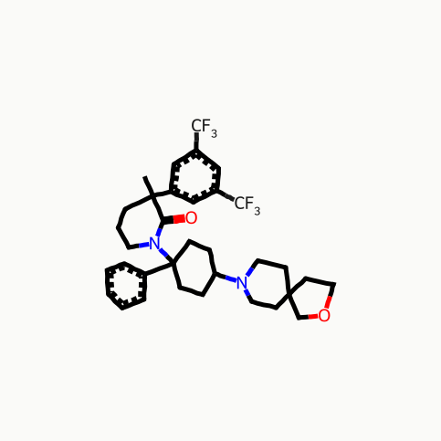 CC1(c2cc(C(F)(F)F)cc(C(F)(F)F)c2)CCCN(C2(c3ccccc3)CCC(N3CCC4(CCOC4)CC3)CC2)C1=O